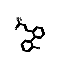 NC(=O)/C=C/c1ccccc1-c1ccccc1Cl